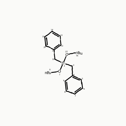 CCCC[O][Zr]([CH2]c1ccccc1)([CH2]c1ccccc1)[O]CCCC